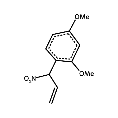 C=CC(c1ccc(OC)cc1OC)[N+](=O)[O-]